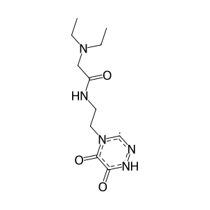 CCN(CC)CC(=O)NCCn1[c]n[nH]c(=O)c1=O